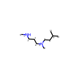 CNCCCN(C)CCC(C)C